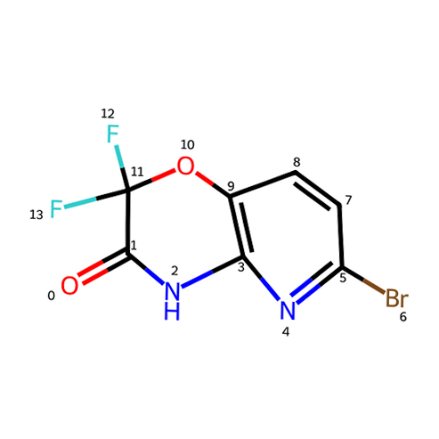 O=C1Nc2nc(Br)ccc2OC1(F)F